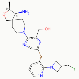 C[C@@H]1OCC2(CCN(c3ncc(Sc4cccnc4N4CC(CF)C4)nc3CO)CC2)[C@@H]1N